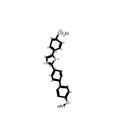 CCCOc1ccc(-c2ccc(-c3ncc(-c4ccc(C(=O)OCC)cc4)s3)cc2)cc1